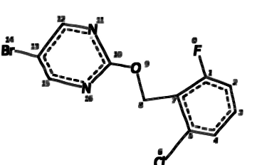 Fc1cccc(Cl)c1COc1ncc(Br)cn1